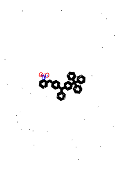 O=[N+]([O-])c1ccccc1Cc1ccc([C](c2ccccc2)c2ccc(C(c3ccccc3)(c3ccccc3)c3ccccc3)cc2)cc1